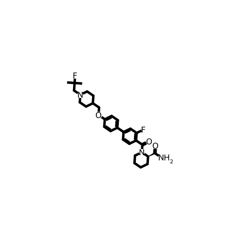 CC(C)(F)CN1CCC(COc2ccc(-c3ccc(C(=O)N4CCCC[C@@H]4C(N)=O)c(F)c3)cc2)CC1